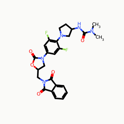 CN(C)C(=O)NC1CCN(c2c(F)cc(N3CC(CN4C(=O)c5ccccc5C4=O)OC3=O)cc2F)C1